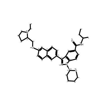 CCC(C)NC(=O)c1ccc2c(c1)c(-c1ccc3cc(OCC4CCCN4CC)ccc3c1)nn2[C@@H]1CCCCO1